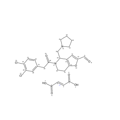 O=C(O)/C=C/C(=O)O.O=Cc1cc2c(o1)CCN(C(=O)Cc1ccc(Cl)c(Cl)c1)C2CN1CCCC1